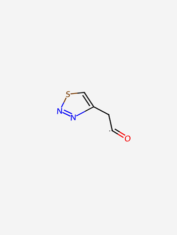 O=[C]Cc1csnn1